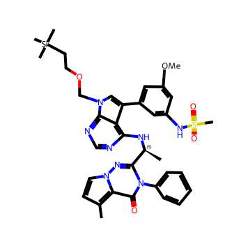 COc1cc(NS(C)(=O)=O)cc(-c2cn(COCC[Si](C)(C)C)c3ncnc(N[C@@H](C)c4nn5ccc(C)c5c(=O)n4-c4ccccc4)c23)c1